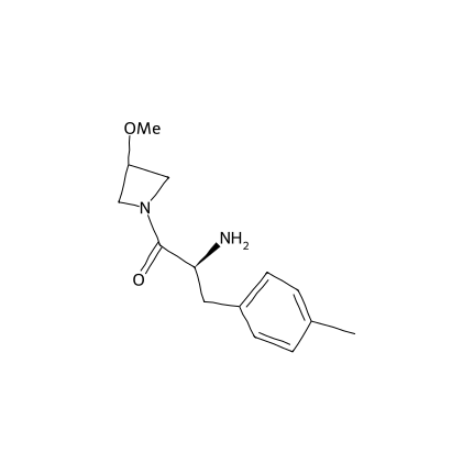 COC1CN(C(=O)[C@@H](N)Cc2ccc(C)cc2)C1